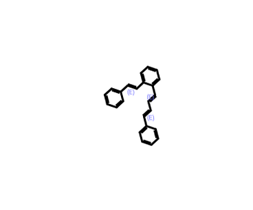 C(/C=C/c1ccccc1/C=C/c1ccccc1)=C\c1ccccc1